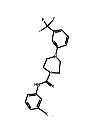 Cc1cccc(NC(=S)N2CCN(c3cccc(C(F)(F)F)c3)CC2)c1